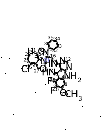 COc1ccc(C(=N)c2c(N)ncnc2NC/C(=N/C2=CCC=CC(Cl)=C2C=O)N(C)c2ccccc2)c(F)c1F